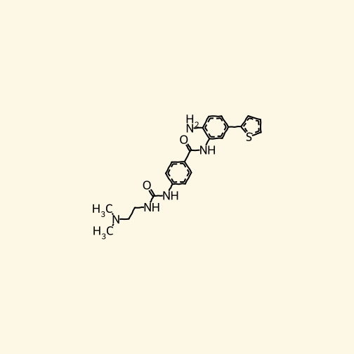 CN(C)CCNC(=O)Nc1ccc(C(=O)Nc2cc(-c3cccs3)ccc2N)cc1